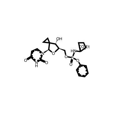 CCOC(=O)C1(NP(=O)(OC[C@H]2O[C@@H](n3ccc(=O)[nH]c3=O)C3(CC3)[C@@H]2O)Oc2ccccc2)CCC1